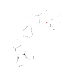 NC(=O)N[C@@H]1C[C@H]2CC[C@@H](C1)N2CCOc1ccc(Oc2nc3cccc(F)c3s2)cc1